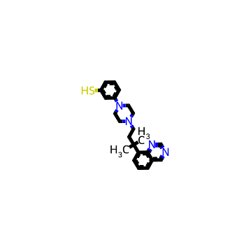 CC(C)(CCN1CCN(c2cccc(S)c2)CC1)c1cccc2cncnc12